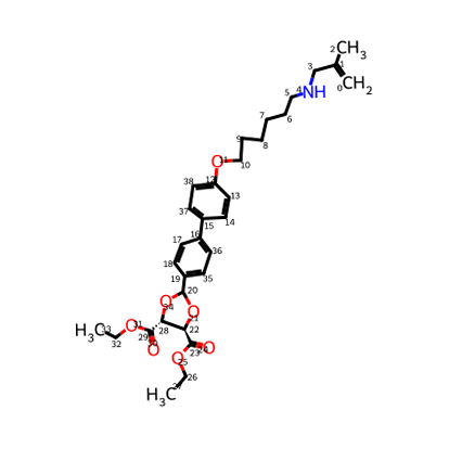 C=C(C)CNCCCCCCOc1ccc(-c2ccc(C3O[C@@H](C(=O)OCC)[C@H](C(=O)OCC)O3)cc2)cc1